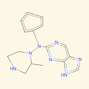 CC1CNCCN1N(c1ccccc1)c1ncc2nc[nH]c2n1